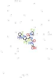 C[C@H]1CC(F)(F)CN1C(=O)c1nc(C(=O)NCC(C)(C)O)sc1-c1cnc(N[C@H]2CCCC2(F)F)cc1C(F)(F)F